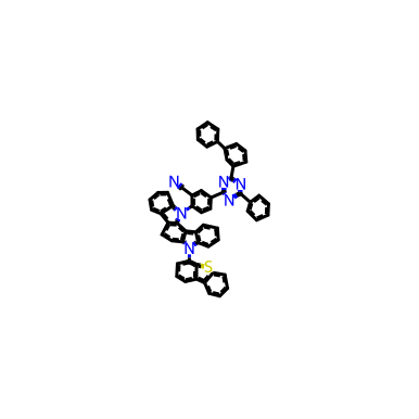 N#Cc1cc(-c2nc(-c3ccccc3)nc(-c3cccc(-c4ccccc4)c3)n2)ccc1-n1c2ccccc2c2ccc3c(c4ccccc4n3-c3cccc4c3sc3ccccc34)c21